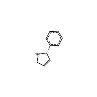 C1=C[C@@H](c2ccccc2)NC1